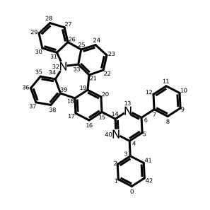 c1ccc(-c2cc(-c3ccccc3)nc(-c3ccc4c(c3)-c3cccc5c6ccccc6n(c35)-c3ccccc3-4)n2)cc1